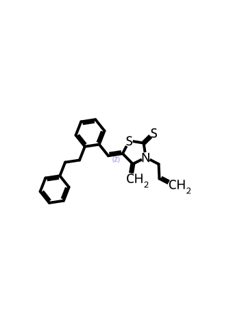 C=CCn1c(=S)s/c(=C\c2ccccc2CCc2ccccc2)c1=C